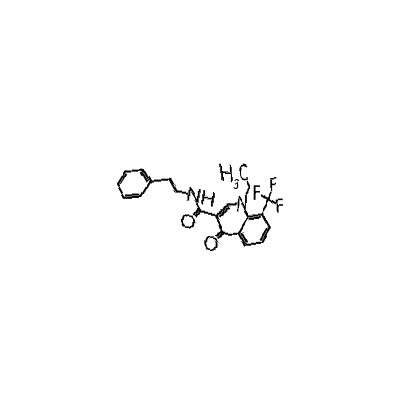 CCn1cc(C(=O)NCCc2ccccc2)c(=O)c2cccc(C(F)(F)F)c21